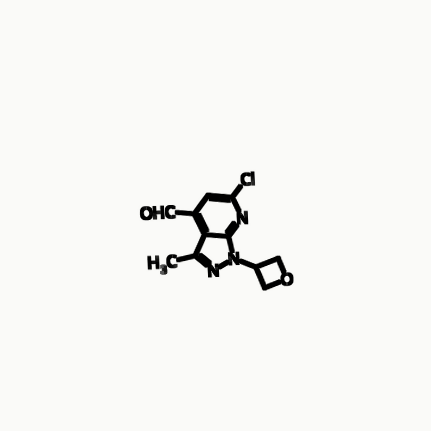 Cc1nn(C2COC2)c2nc(Cl)cc(C=O)c12